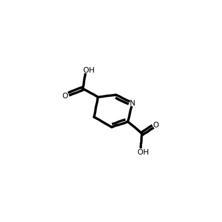 O=C(O)C1=CCC(C(=O)O)C=N1